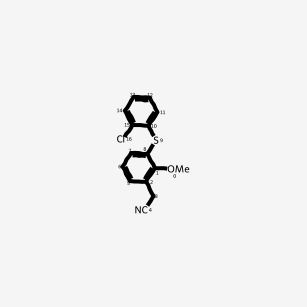 COc1c(CC#N)cccc1Sc1ccccc1Cl